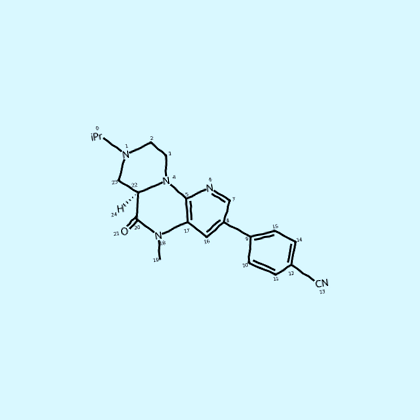 CC(C)N1CCN2c3ncc(-c4ccc(C#N)cc4)cc3N(C)C(=O)[C@H]2C1